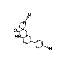 N#Cc1ccc(-c2ccc3c(c2)CC2(CCN(C#N)C2)C(=O)N3)cc1